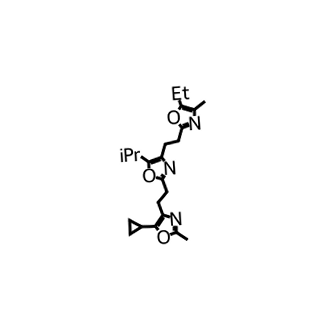 CCc1oc(CCc2nc(CCc3nc(C)oc3C3CC3)oc2C(C)C)nc1C